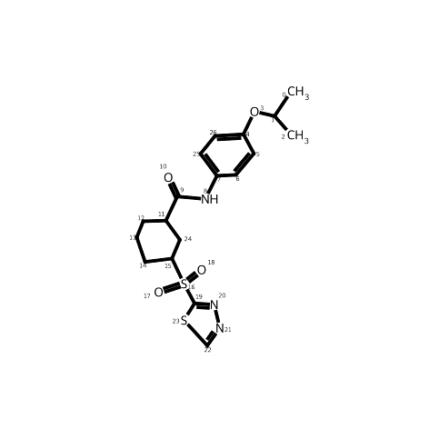 CC(C)Oc1ccc(NC(=O)C2CCCC(S(=O)(=O)c3nncs3)C2)cc1